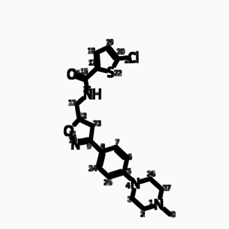 CN1CCN(c2ccc(C3=NOC(CNC(=O)c4ccc(Cl)s4)C3)cc2)CC1